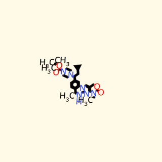 CCN1C(=O)OCc2cnc(NC(C)c3ccc(C(CC4CC4)N4CCN(C(=O)OC(C)(C)C)CC4)cc3)nc21